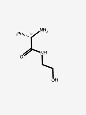 CC(C)[C@H](N)C(=O)NCCO